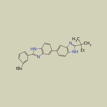 CCC(C)(C)c1nc2cc(-c3ccc4[nH]c(-c5cccc(C(C)(C)C)c5)nc4c3)ccc2[nH]1